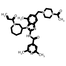 C=CC(=O)N1CCCCC(n2c(NC(=O)c3cc(C)nc(C)c3)nc3cc(CN4CCN(C(C)=O)CC4)cc(C)c32)C1